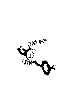 COC(=O)c1sccc1S(=O)(=O)NCCc1ccc(F)cc1